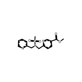 COC(=O)c1ccc(CN(Cc2ccccn2)S(C)(=O)=O)nc1